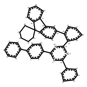 c1ccc(-c2ccc(-c3nc(-c4ccccc4)nc(-c4ccccc4-c4ccc5c(c4)-c4ccccc4C54CCCCC4)n3)cc2)cc1